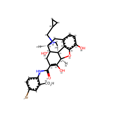 O=C(Nc1ccc(Br)cc1C(=O)O)C1=C(O)[C@@H]2Oc3c(O)ccc4c3[C@@]23CCN(CC2CC2)[C@H](C4)[C@]3(O)C1